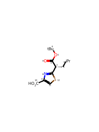 CC(C)C[C@@H](C(=O)OC(C)(C)C)c1nc(C(=O)O)cs1